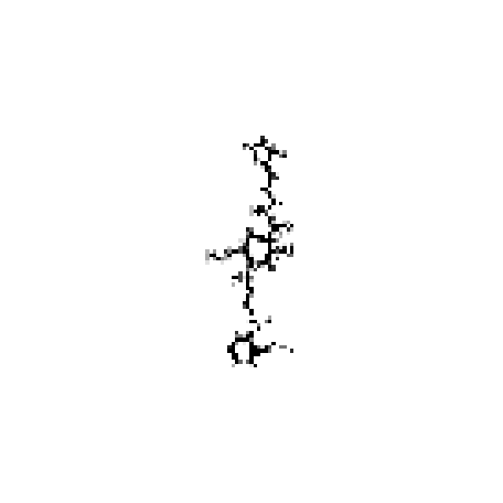 Cc1ccccc1NCCNc1cc(Cl)c(C(=O)NCCCN2CCCC2=O)cc1N